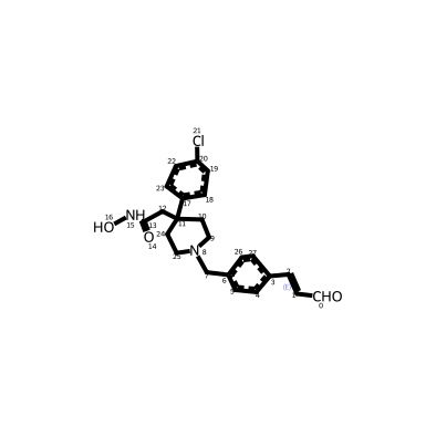 O=C/C=C/c1ccc(CN2CCC(CC(=O)NO)(c3ccc(Cl)cc3)CC2)cc1